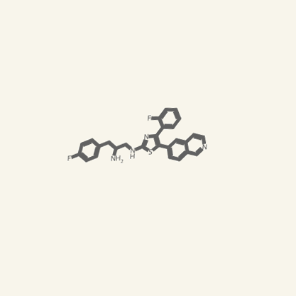 NC(CNc1nc(-c2ccccc2F)c(-c2ccc3cnccc3c2)s1)Cc1ccc(F)cc1